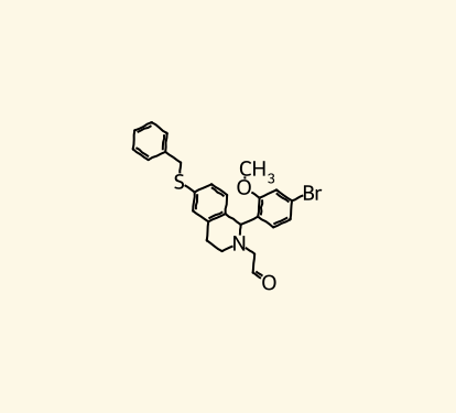 COc1cc(Br)ccc1C1c2ccc(SCc3ccccc3)cc2CCN1CC=O